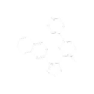 O=c1ccn(-c2ccncc2)nc1-c1ccnn1-c1ccc2c(c1)OCCO2